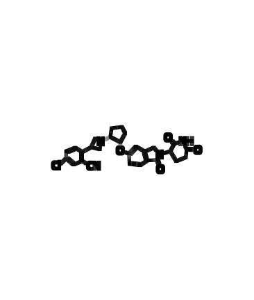 N#Cc1cc(Cl)ccc1C1CN([C@@H]2CCC[C@@H]2Oc2ccc3c(c2)CN(C2CCC(=O)NC2=O)C3=O)C1